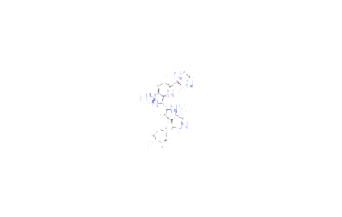 Fc1ccc(-c2cncc3[nH]c(-c4n[nH]c5ccc(-c6cnccn6)nc45)cc23)cc1